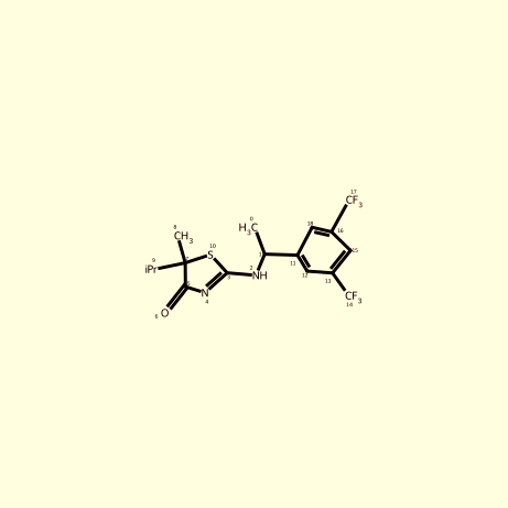 CC(NC1=NC(=O)C(C)(C(C)C)S1)c1cc(C(F)(F)F)cc(C(F)(F)F)c1